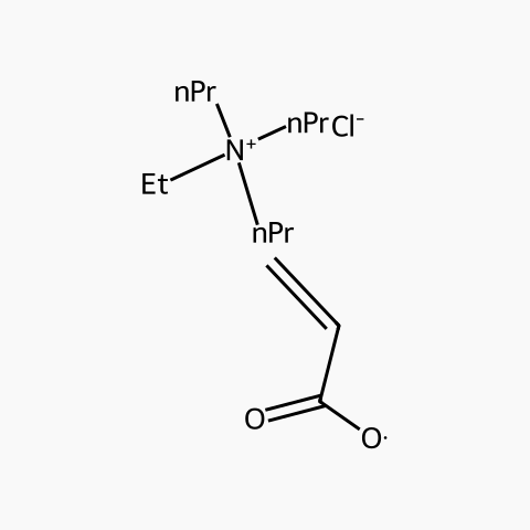 C=CC([O])=O.CCC[N+](CC)(CCC)CCC.[Cl-]